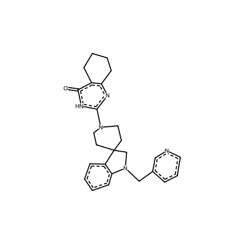 O=c1[nH]c(N2CCC3(CC2)CN(Cc2cccnc2)c2ccccc23)nc2c1CCCC2